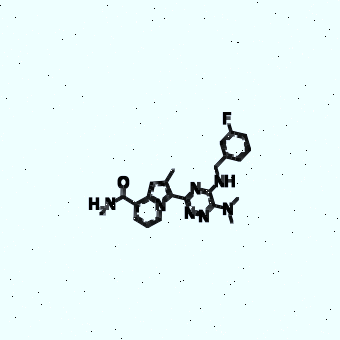 Cc1cc2c(C(N)=O)cccn2c1-c1nnc(N(C)C)c(NCc2cccc(F)c2)n1